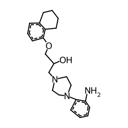 Nc1ccccc1N1CCN(CC(O)COc2cccc3c2CCCC3)CC1